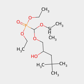 CCOP(=O)(OCC)C(OCC(O)CC(C)(C)C)O[SiH](C)C